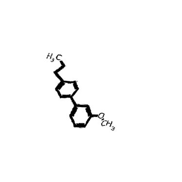 CCCc1[c]cc(-c2cccc(OC)c2)cc1